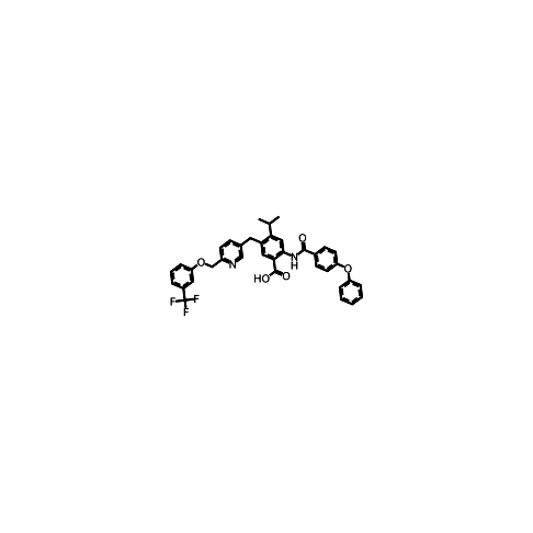 CC(C)c1cc(NC(=O)c2ccc(Oc3ccccc3)cc2)c(C(=O)O)cc1Cc1ccc(COc2cccc(C(F)(F)F)c2)nc1